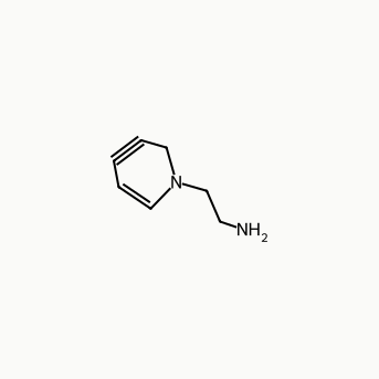 NCCN1C=CC#CC1